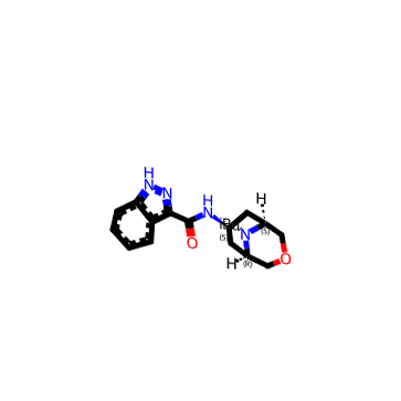 CCC(C)N1[C@@H]2COC[C@H]1C[C@@H](NC(=O)c1n[nH]c3ccccc13)C2